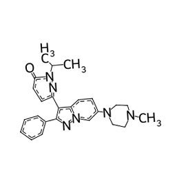 CC(C)n1nc(-c2c(-c3ccccc3)nn3cc(N4CCN(C)CC4)ccc23)ccc1=O